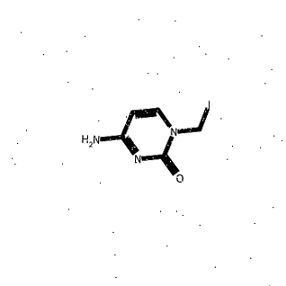 Nc1ccn(CI)c(=O)n1